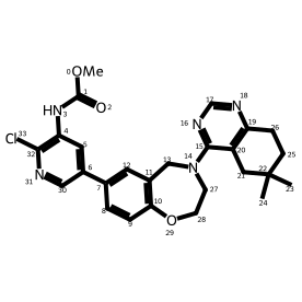 COC(=O)Nc1cc(-c2ccc3c(c2)CN(c2ncnc4c2CC(C)(C)CC4)CCO3)cnc1Cl